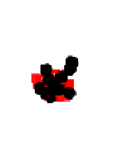 Oc1c(C2CCCC2)c(O)c2c(-c3ccc(-c4ccc5ccccc5c4)cc3)c3c(O)c(C4CCCCC4)c(O)c(C4CCCC4)c3c(-c3cccc4ccccc34)c2c1O